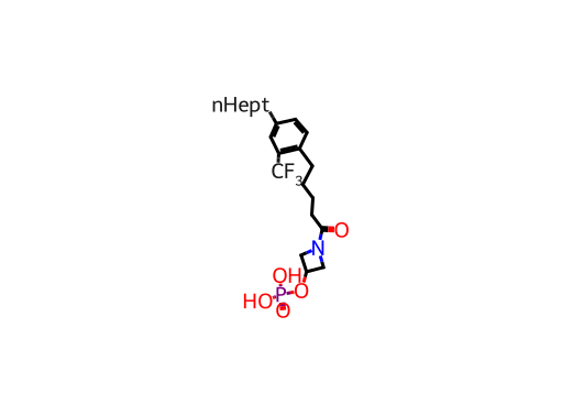 CCCCCCCc1ccc(CCCCC(=O)N2CC(OP(=O)(O)O)C2)c(C(F)(F)F)c1